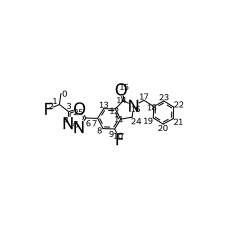 CC(F)c1nnc(-c2cc(F)c3c(c2)C(=O)N(Cc2ccccc2)C3)o1